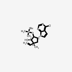 C=C[C@@]1(C)C[C@@H](n2ccc3c(Cl)ncnc32)C(O[Si](C)(C)C(C)(C)C)[C@@H]1O